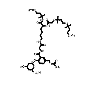 BC(=O)OCc1ccc(O[C@H]2CC(O)CC(C(=O)O)O2)c(C(=O)NCC(=O)NCCCCC(NC(=O)COC(C)(C)CCOC(C)(C)CCOC)C(=O)NC(C)(C)CCOC(C)C)c1